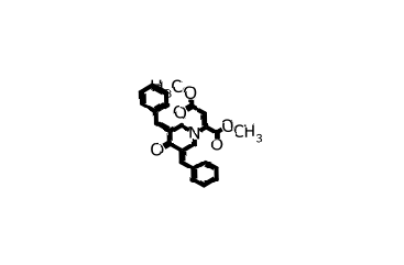 COC(=O)/C=C(/C(=O)OC)N1C/C(=C\c2ccccc2)C(=O)/C(=C/c2ccccc2)C1